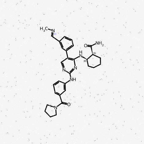 C/N=C/c1cccc(-c2cnc(Nc3cccc(C(=O)N4CCCC4)c3)nc2N[C@@H]2CCCC[C@@H]2C(N)=O)c1